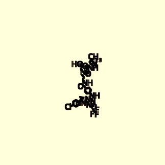 Cc1cc(NC(=O)C(=O)N(CCO)CCCNC(=O)c2ccc(Nc3nc(NC4(c5ccc(Cl)cc5)CC4)nc(OCC(F)(F)F)n3)cc2)no1